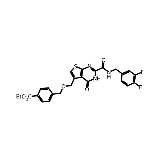 CCOC(=O)c1ccc(COCc2csc3nc(C(=O)NCc4ccc(F)c(F)c4)[nH]c(=O)c23)cc1